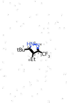 CCc1c(C(F)(F)F)n[nH]c1C(C)(C)C